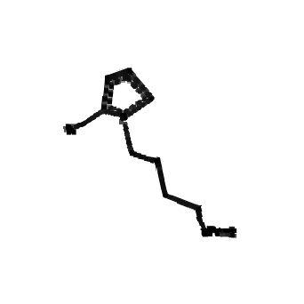 CCCCCCCCCp1cccc1[N]